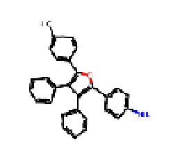 Cc1ccc(-c2oc(-c3ccc(N)cc3)c(-c3ccccc3)c2-c2ccccc2)cc1